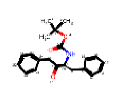 CC(C)(C)OC(=O)N[C@@H](Cc1ccccc1)C(=O)Cc1ccccc1